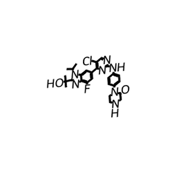 CC(C)n1c(C(C)(C)O)nc2c(F)cc(-c3nc(Nc4ccc(N5CCNCC5=O)cc4)ncc3Cl)cc21